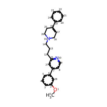 COc1cccc(-c2ccnc(CCCN3CC=C(c4ccccc4)CC3)c2)c1